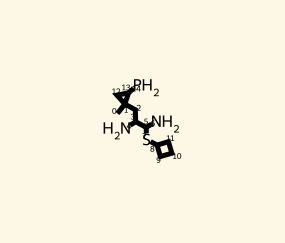 CC1(CC(N)C(N)SC2CCC2)CC1P